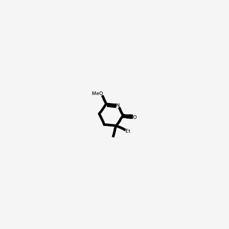 CCC1(C)CCC(OC)=NC1=O